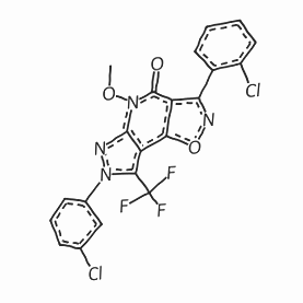 COn1c(=O)c2c(-c3ccccc3Cl)noc2c2c(C(F)(F)F)n(-c3cccc(Cl)c3)nc21